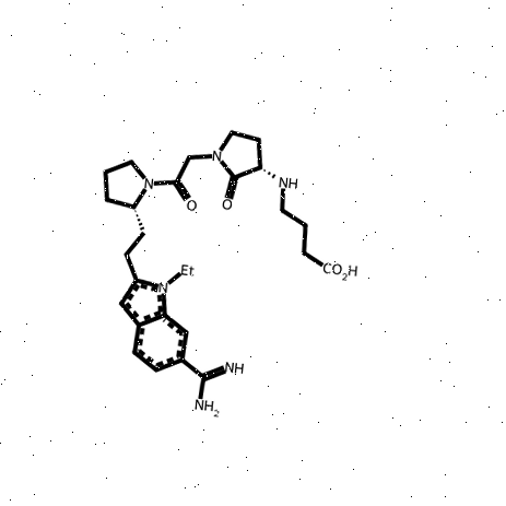 CCn1c(CC[C@@H]2CCCN2C(=O)CN2CC[C@H](NCCCC(=O)O)C2=O)cc2ccc(C(=N)N)cc21